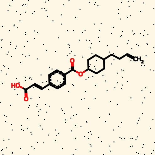 C=CCCC1CCC(OC(=O)c2ccc(/C=C/C(=O)O)cc2)CC1